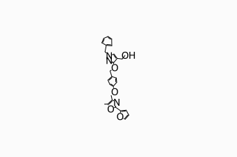 Cc1oc(-c2ccco2)nc1COc1ccc(COc2nn(Cc3ccccc3)cc2CO)cc1